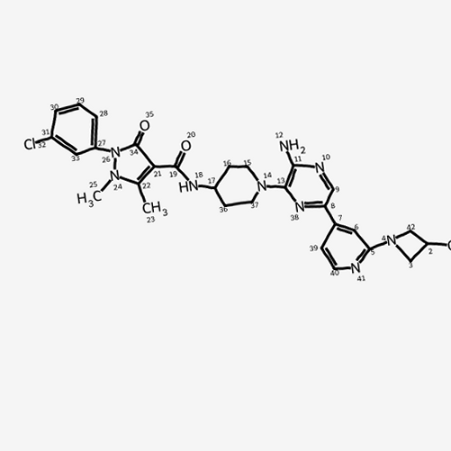 COC1CN(c2cc(-c3cnc(N)c(N4CCC(NC(=O)c5c(C)n(C)n(-c6cccc(Cl)c6)c5=O)CC4)n3)ccn2)C1